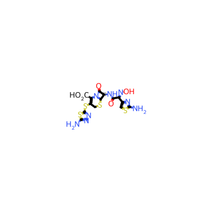 Nc1nc(C(=NO)C(=O)N[C@@H]2C(=O)N3C(C(=O)O)=C(Sc4nnc(N)s4)CSC23)cs1